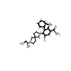 C=CC(O)N1CCC2(CCN(c3c(F)cc(C(N)=O)c4[nH]c5ccccc5c34)C2)C1